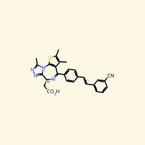 Cc1sc2c(c1C)C(c1ccc(/C=C/c3cccc(C#N)c3)cc1)=N[C@@H](CC(=O)O)c1nnc(C)n1-2